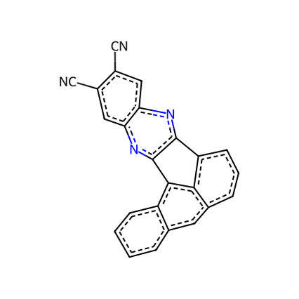 N#Cc1cc2nc3c(nc2cc1C#N)-c1c2ccccc2cc2cccc-3c12